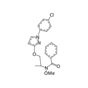 CON(C(=O)c1ccccc1)C(C)COc1ccn(-c2ccc(Cl)cc2)n1